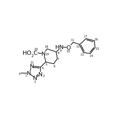 Cn1nnc(C2CCC(NOCc3ccccc3)CN2C(=O)O)n1